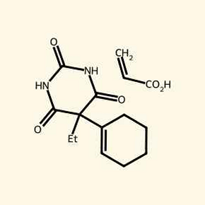 C=CC(=O)O.CCC1(C2=CCCCC2)C(=O)NC(=O)NC1=O